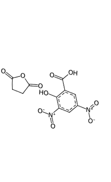 O=C(O)c1cc([N+](=O)[O-])cc([N+](=O)[O-])c1O.O=C1CCC(=O)O1